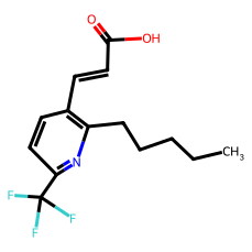 CCCCCc1nc(C(F)(F)F)ccc1C=CC(=O)O